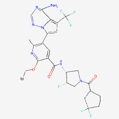 [2H]COc1nc(C)c(-c2cc(C(F)(F)F)c3c(N)ncnn23)cc1C(=O)N[C@@H]1CN(C(=O)C2CCC(F)(F)C2)C[C@@H]1F